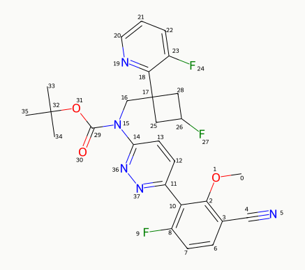 COc1c(C#N)ccc(F)c1-c1ccc(N(CC2(c3ncccc3F)CC(F)C2)C(=O)OC(C)(C)C)nn1